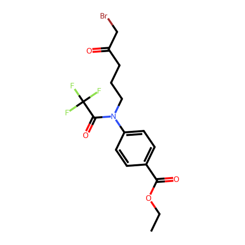 CCOC(=O)c1ccc(N(CCCC(=O)CBr)C(=O)C(F)(F)F)cc1